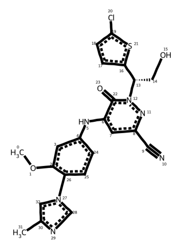 COc1cc(Nc2cc(C#N)nn([C@@H](CO)c3ccc(Cl)s3)c2=O)ccc1-n1cnc(C)c1